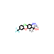 CC(C)(O)c1cc(Oc2cccc(C(F)(F)F)c2)c(Cl)cc1N